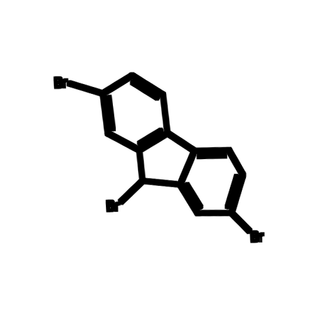 Brc1ccc2c(c1)C(Br)c1cc(Br)ccc1-2